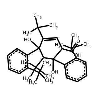 CC(C)(C)C1=CC(C(=O)O)C(O)(c2ccccc2C(C)(C)C)C(C(C)(C)C)C1(O)c1ccccc1C(C)(C)C